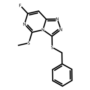 CSc1nc(F)cc2nnc(SCc3ccccc3)n12